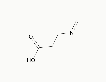 C=NCCC(=O)O